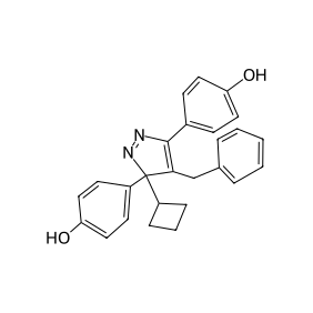 Oc1ccc(C2=C(Cc3ccccc3)C(c3ccc(O)cc3)(C3CCC3)N=N2)cc1